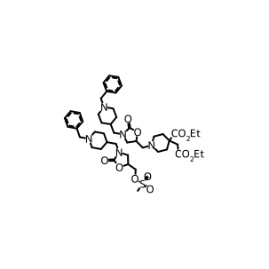 CCOC(=O)CC1(C(=O)OCC)CCN(CC2CN(CC3CCN(Cc4ccccc4)CC3)C(=O)O2)CC1.CS(=O)(=O)OCC1CN(CC2CCN(Cc3ccccc3)CC2)C(=O)O1